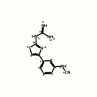 N#CNc1cccc(-c2csc(NC(=N)N)n2)c1